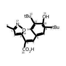 Cc1cc(C(=Cc2cc(C(C)(C)C)c(O)c(C(C)(C)C)c2)C(=O)O)on1